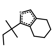 CCC(C)(C)c1scc2c1CCCC2